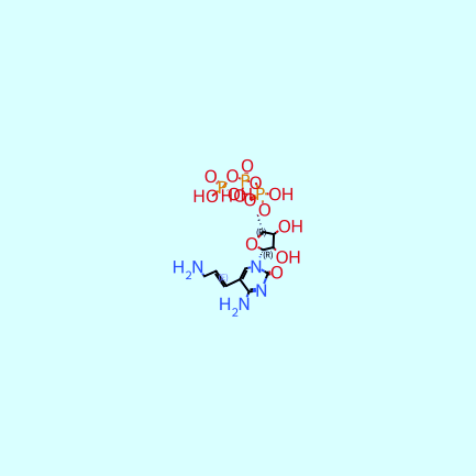 NC/C=C/c1cn([C@@H]2O[C@H](COP(=O)(O)OP(=O)(O)OP(=O)(O)O)C(O)C2O)c(=O)nc1N